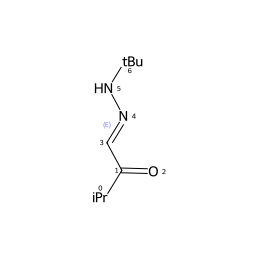 CC(C)C(=O)/C=N/NC(C)(C)C